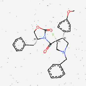 COc1ccc([C@@H]2CN(Cc3ccccc3)C[C@@]2(F)C(=O)N2C(=O)OC[C@H]2Cc2ccccc2)cc1